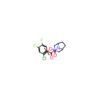 CC(C)(C)OC(=O)N1C2CCC1CN(C(=O)c1cc(F)c(F)cc1Cl)C2